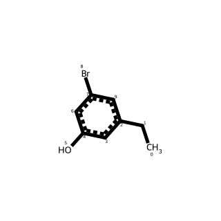 CCc1cc(O)cc(Br)c1